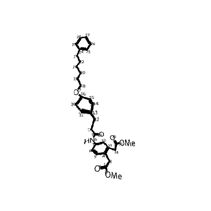 COC(=O)Cc1ccc(NC(=O)CCc2ccc(OCCCCCCc3ccccc3)cc2)cc1CC(=O)OC